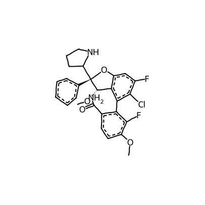 COc1ccc(C(N)=O)c(-c2c(Cl)c(F)cc3c2[C@H](OC)[C@](c2ccccc2)(C2CCCN2)O3)c1F